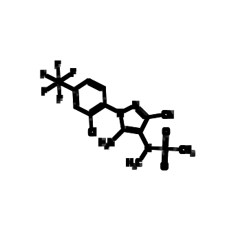 CN(c1c(C#N)nn(-c2ccc(S(F)(F)(F)(F)F)cc2Cl)c1N)S(C)(=O)=O